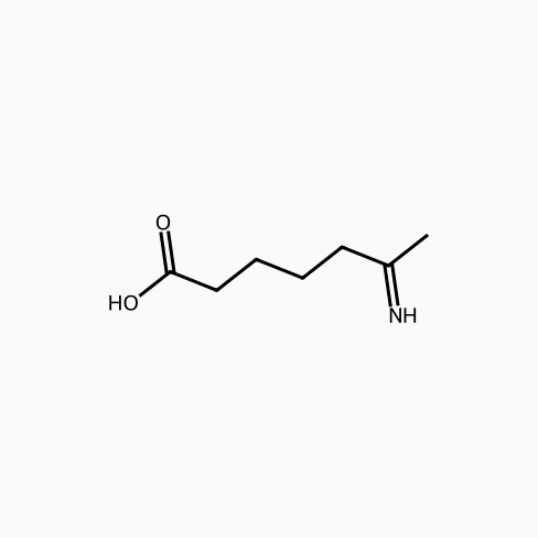 CC(=N)CCCCC(=O)O